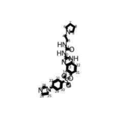 O=C(NCCN1CCCC1)Nc1nc2cc(OS(=O)(=O)c3ccc(-n4ccnc4)cc3)ccc2[nH]1